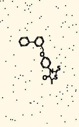 C=C1SC(=S)N(c2ccc(OCc3cccc(-c4ccccc4)c3)cc2)C1=O